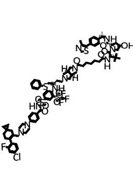 Cc1ncsc1-c1ccc([C@H](C)NC(=O)[C@@H]2C[C@@H](O)CN2C(=O)[C@@H](NC(=O)CCCCCC(=O)N2C[C@H]3CN(CC[C@H](CSc4ccccc4)Nc4ccc(S(=O)(=O)NC(=O)c5ccc(N6CCN(CC7=C(c8ccc(Cl)cc8F)CCC8(CC8)C7)CC6)cc5)cc4S(=O)(=O)C(F)(F)F)C[C@@H]3C2)C(C)(C)C)cc1